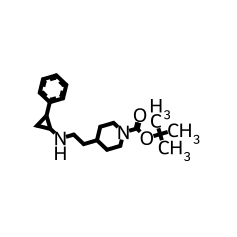 CC(C)(C)OC(=O)N1CCC(CCNC2CC2c2ccccc2)CC1